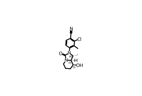 Cc1c(N2C(=O)N3CCC[C@H](O)[C@@H]3[C@H]2C)ccc(C#N)c1Cl